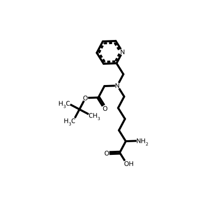 CC(C)(C)OC(=O)CN(CCCCC(N)C(=O)O)Cc1ccccn1